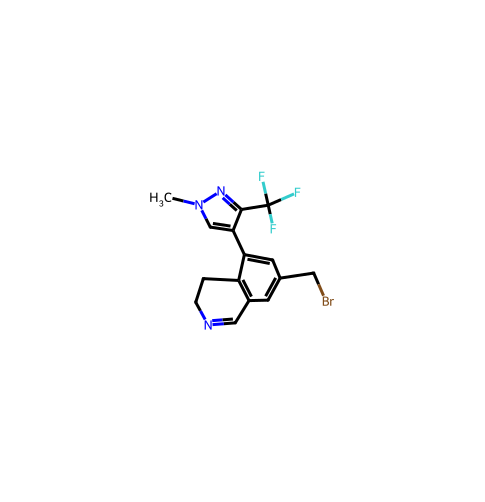 Cn1cc(-c2cc(CBr)cc3c2CCN=C3)c(C(F)(F)F)n1